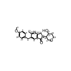 COc1ccc(Cc2cc3c(nc2C)CN(C2COCCC2O)C3=O)cc1